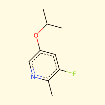 Cc1ncc(OC(C)C)cc1F